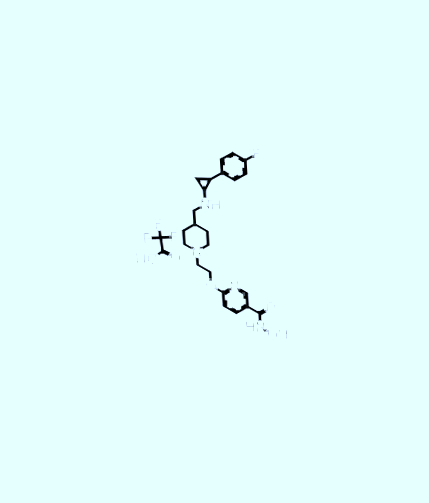 O=C(NO)c1ccc(OCCN2CCC(CNC3CC3c3ccc(F)cc3)CC2)nc1.O=C(O)C(F)(F)F